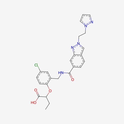 CCC(Oc1ccc(Cl)cc1CNC(=O)c1ccc2cn(CCn3cccn3)nc2c1)C(=O)O